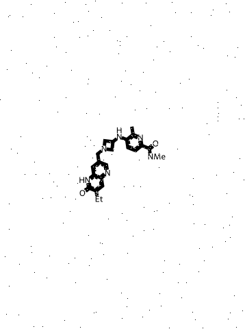 CCc1cc2ncc(CN3CC(Nc4ccc(C(=O)NC)nc4C)C3)cc2[nH]c1=O